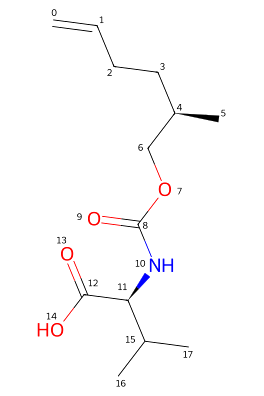 C=CCC[C@@H](C)COC(=O)N[C@H](C(=O)O)C(C)C